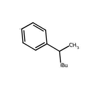 CCC(C)C(C)c1cc[c]cc1